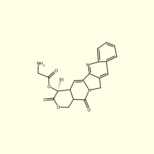 CC[C@@]1(OC(=O)CN)C(=O)OCC2C(=O)N3Cc4cc5ccccc5nc4C3=CC21